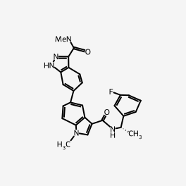 CNC(=O)c1n[nH]c2cc(-c3ccc4c(c3)c(C(=O)N[C@@H](C)c3cccc(F)c3)cn4C)ccc12